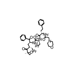 CC(C)C[C@@H](C[C@H](NC(=O)[C@H](CC(C)C)NC(=O)[C@H](CCc1ccccc1)NC(=O)CN1CCOCC1)C(=O)c1ccccc1)C(=O)[C@]1(C)CO1